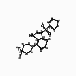 O=S(=O)(c1ccccc1)c1c[nH]c2c(C3CCC(F)(F)CC3)ncnc12